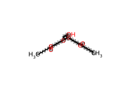 CCCCCCCCCC(=O)OCCCCCCCCOc1ccc(CO)c(OCCCCCCCCOC(=O)CCCCCCCCC)c1